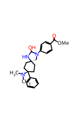 COC(=O)c1ccc(N2C[C@]3(CC[C@](c4ccccc4)(N(C)C)CC3)NC2O)cc1